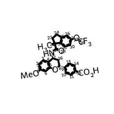 COc1ccc2c(c1)O[C@@H](c1ccc(C(=O)O)cc1)C[C@H]2NC(=O)C1(C)CCc2cc(OC(F)(F)F)ccc21